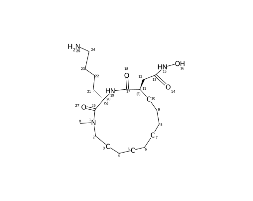 CN1CCCCCCCCC[C@H](CC(=O)NO)C(=O)N[C@@H](CCCCN)C1=O